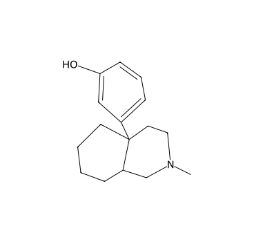 CN1CCC2(c3cccc(O)c3)CCCCC2C1